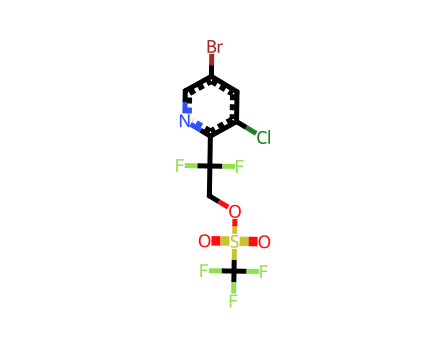 O=S(=O)(OCC(F)(F)c1ncc(Br)cc1Cl)C(F)(F)F